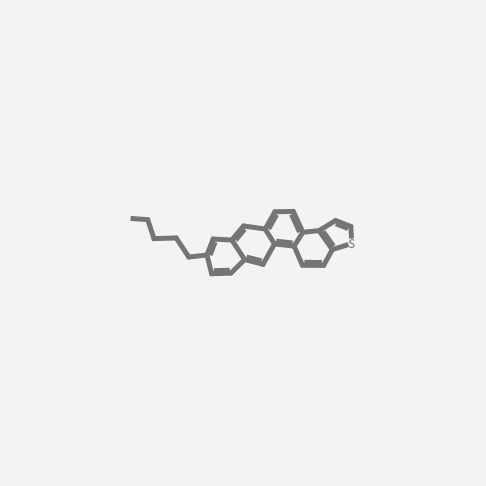 CCCCCc1ccc2cc3c(ccc4c5ccsc5ccc34)cc2c1